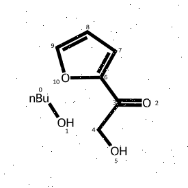 CCCCO.O=C(CO)c1ccco1